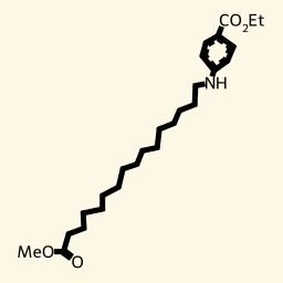 CCOC(=O)c1ccc(NCCCCCCCCCCCCCCCC(=O)OC)cc1